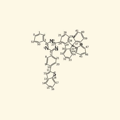 c1ccc(-c2nc(-c3ccc(-c4cc5ccccc5s4)cc3)nc(-c3cccc4c3-c3ccccc3C4(c3ccccc3)c3ccccc3)n2)cc1